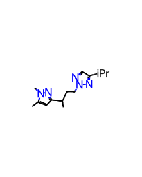 Cc1cc(C(C)CCn2ncc(C(C)C)n2)nn1C